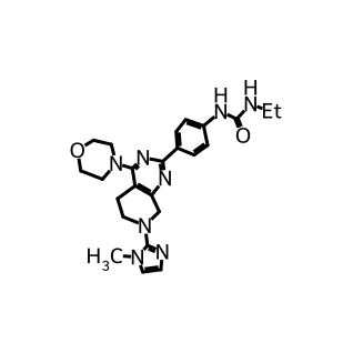 CCNC(=O)Nc1ccc(-c2nc3c(c(N4CCOCC4)n2)CCN(c2nccn2C)C3)cc1